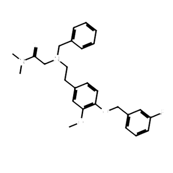 COc1cc(CCN(CC(=O)N(C)C)Cc2ccccc2)ccc1OCc1cccc(F)c1